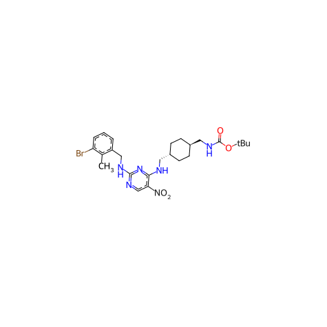 Cc1c(Br)cccc1CNc1ncc([N+](=O)[O-])c(NC[C@H]2CC[C@H](CNC(=O)OC(C)(C)C)CC2)n1